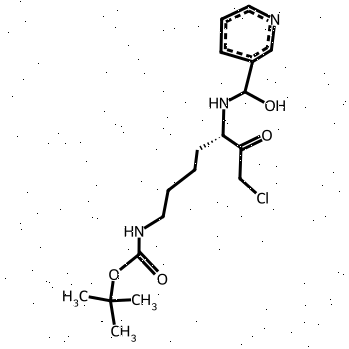 CC(C)(C)OC(=O)NCCCC[C@H](NC(O)c1cccnc1)C(=O)CCl